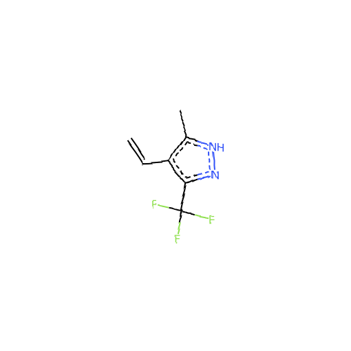 C=Cc1c(C(F)(F)F)n[nH]c1C